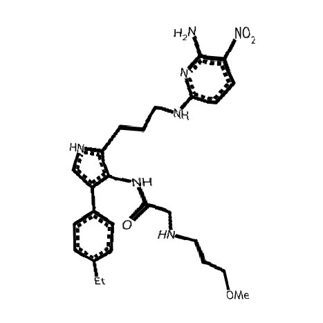 CCc1ccc(-c2c[nH]c(CCCNc3ccc([N+](=O)[O-])c(N)n3)c2NC(=O)CNCCCOC)cc1